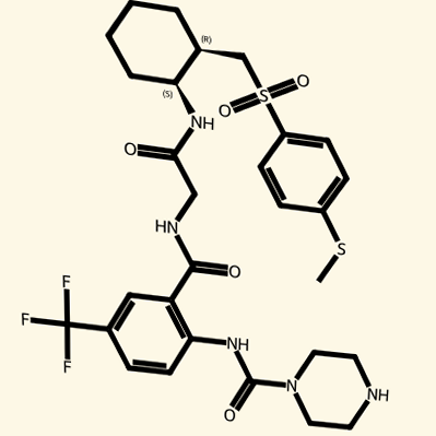 CSc1ccc(S(=O)(=O)C[C@@H]2CCCC[C@@H]2NC(=O)CNC(=O)c2cc(C(F)(F)F)ccc2NC(=O)N2CCNCC2)cc1